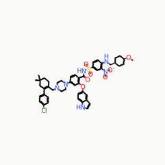 CO[C@H]1CC[C@@H](CNc2ccc(S(=O)(=O)NC(=O)c3ccc(N4CCN(CC5=C(c6ccc(Cl)cc6)CC(C)(C)CC5)CC4)cc3Oc3ccc4[nH]ccc4c3)cc2[N+](=O)[O-])CC1